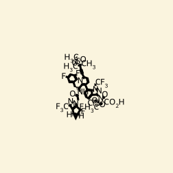 CC(C)(C#Cc1ccc(-c2ccc(Cl)c3c(N(C(=O)C(=O)O)S(C)(=O)=O)nn(CC(F)(F)F)c23)c([C@H](Cc2cc(F)cc(F)c2)NC(=O)Cn2nc(C(F)(F)F)c3c2C(F)(F)[C@@H]2C[C@H]32)n1)S(C)(=O)=O